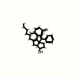 C=C(c1ccccc1)C12CC[C@@H](O)C1CC(CCCCCC)=C2c1cc(Br)ccc1C